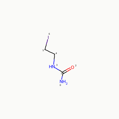 NC(=O)NCCI